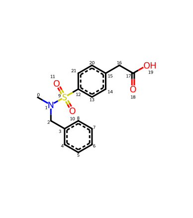 CN(Cc1ccccc1)S(=O)(=O)c1ccc(CC(=O)O)cc1